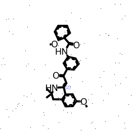 COc1ccc2c(c1)/C(=C/C(=O)c1cccc(NC(=O)c3ccccc3OC)c1)NC(C)(C)C2